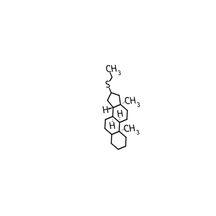 CCSC1C[C@H]2[C@@H]3CCC4CCCC[C@]4(C)[C@@H]3CC[C@]2(C)C1